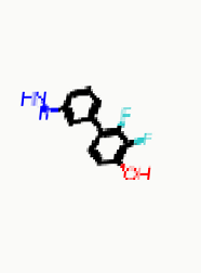 N=Nc1cccc(-c2ccc(O)c(F)c2F)c1